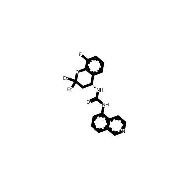 CCC1(CC)C[C@@H](NC(=O)Nc2cccc3cnccc23)c2cccc(F)c2O1